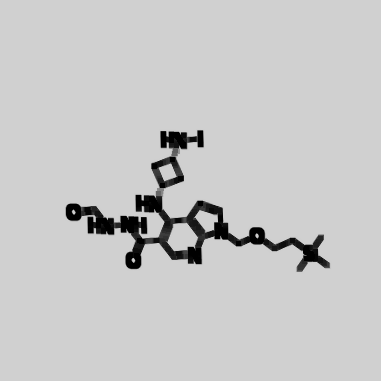 C[Si](C)(C)CCOCn1ccc2c(N[C@H]3C[C@@H](NI)C3)c(C(=O)NNC=O)cnc21